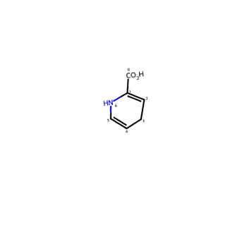 O=C(O)C1=CCC=CN1